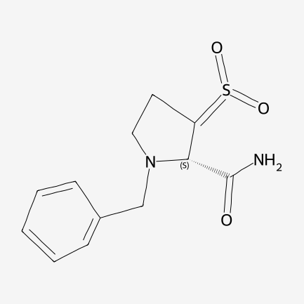 NC(=O)[C@H]1C(=S(=O)=O)CCN1Cc1ccccc1